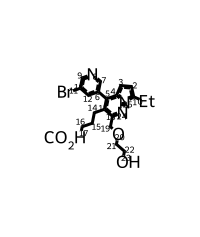 CCc1ccc2c(-c3cncc(Br)c3)c(CCCC(=O)O)c(COCCO)nn12